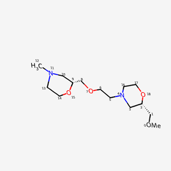 COC[C@@H]1CN(CCOC[C@H]2CN(C)CCO2)CCO1